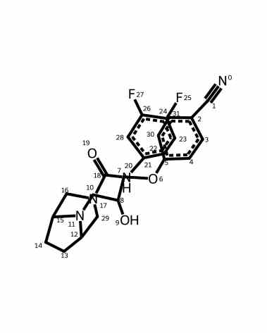 N#Cc1ccc(OCC(O)CN2C3CCC2CN(C(=O)Nc2ccc(F)c(F)c2)C3)cc1